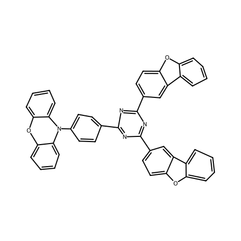 c1ccc2c(c1)Oc1ccccc1N2c1ccc(-c2nc(-c3ccc4oc5ccccc5c4c3)nc(-c3ccc4oc5ccccc5c4c3)n2)cc1